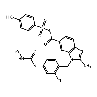 CCCNC(=O)Nc1ccc(Cn2c(C)nc3ccc(C(=O)NS(=O)(=O)c4ccc(C)cc4)nc32)c(Cl)c1